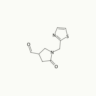 O=CC1CC(=O)N(Cc2nccs2)C1